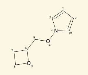 c1ccn(OCC2CCO2)c1